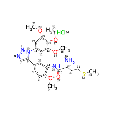 COc1ccc(-c2cnnn2-c2cc(OC)c(OC)c(OC)c2)cc1NC(=O)C(N)CCSC.Cl